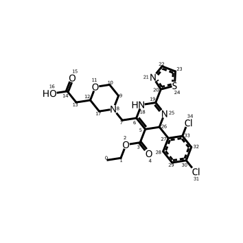 CCOC(=O)C1=C(CN2CCOC(CC(=O)O)C2)NC(c2nccs2)=NC1c1ccc(Cl)cc1Cl